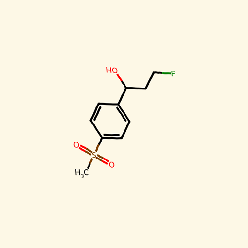 CS(=O)(=O)c1ccc(C(O)CCF)cc1